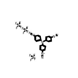 F[B-](F)(F)F.F[B-](F)(F)F.F[B-](F)(F)F.N#[N+]c1ccc(N(c2ccc([N+]#N)cc2)c2ccc([N+]#N)cc2)cc1